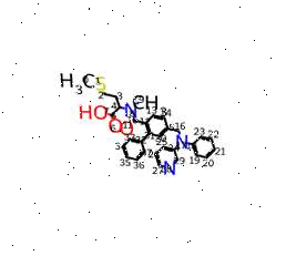 CSCCC(C(=O)O)N(C)C(=O)c1ccc(CN(c2ccccc2)c2cccnc2)cc1-c1ccccc1